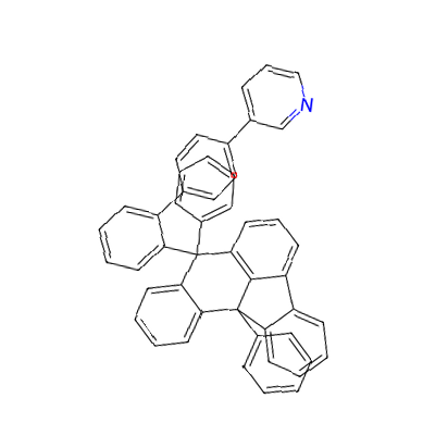 c1ccc(C2(c3ccccc3-c3ccc(-c4cccnc4)cc3)c3ccccc3C3(c4ccccc4)c4ccccc4-c4cccc2c43)cc1